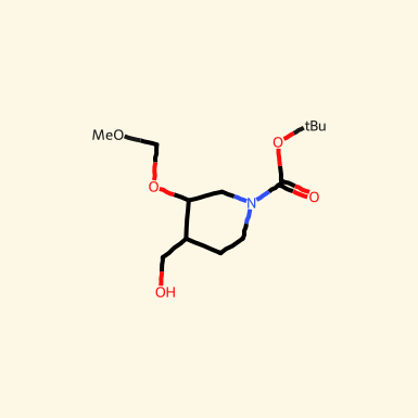 COCOC1CN(C(=O)OC(C)(C)C)CCC1CO